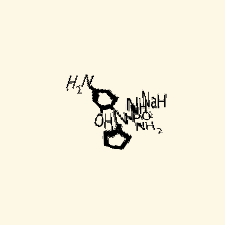 Nc1ccc(N(C2CCCC2)P(N)(N)=O)c(O)c1.[NaH]